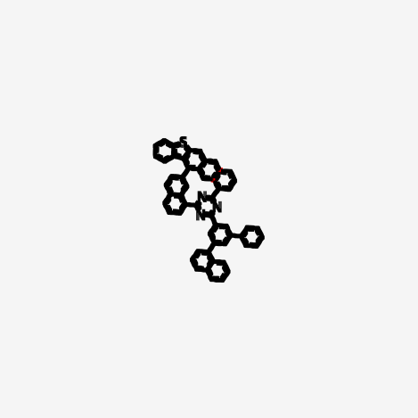 c1ccc(-c2cc(-c3nc(-c4ccccc4)nc(-c4cccc5ccc(-c6c7ccccc7cc7sc8ccccc8c67)cc45)n3)cc(-c3cccc4ccccc34)c2)cc1